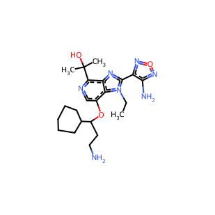 CCn1c(-c2nonc2N)nc2c(C(C)(C)O)ncc(OC(CCN)C3CCCCC3)c21